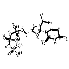 C[C@@H](F)[C@H]1C[C@@H](COP(=O)(O)OP(=O)(O)OP(=O)(O)O)O[C@H]1n1ccc(=O)[nH]c1=O